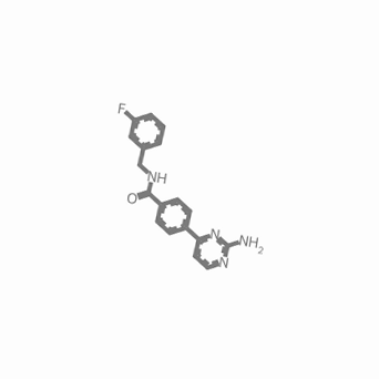 Nc1nccc(-c2ccc(C(=O)NCc3cccc(F)c3)cc2)n1